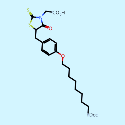 CCCCCCCCCCCCCCCCCCOc1ccc(CC2SC(=S)N(CC(=O)O)C2=O)cc1